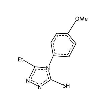 CCc1nnc(S)n1-c1ccc(OC)cc1